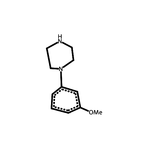 COc1[c]ccc(N2CCNCC2)c1